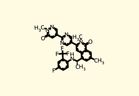 Cc1cc([C@@H](C)Nc2ccc(F)cc2C(F)(F)F)c2cc(-c3cnc(-c4cnn(C)c(=O)c4)nc3)n(C)c(=O)c2c1